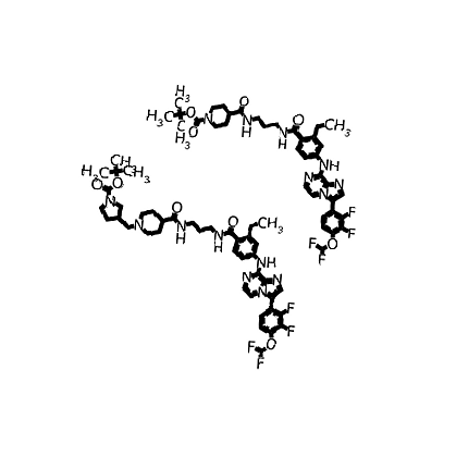 CCc1cc(Nc2nccn3c(-c4ccc(OC(F)F)c(F)c4F)cnc23)ccc1C(=O)NCCCNC(=O)C1CCN(C(=O)OC(C)(C)C)CC1.CCc1cc(Nc2nccn3c(-c4ccc(OC(F)F)c(F)c4F)cnc23)ccc1C(=O)NCCCNC(=O)C1CCN(CC2CCN(C(=O)OC(C)(C)C)C2)CC1